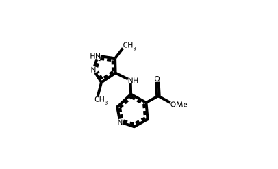 COC(=O)c1ccncc1Nc1c(C)n[nH]c1C